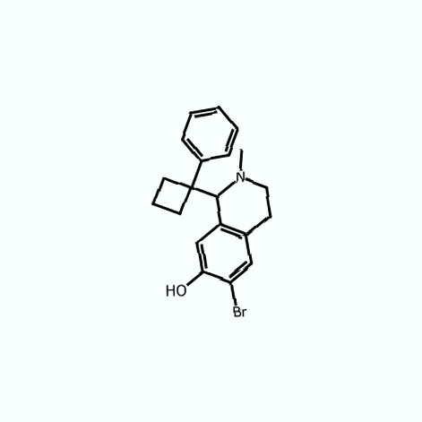 CN1CCc2cc(Br)c(O)cc2C1C1(c2ccccc2)CCC1